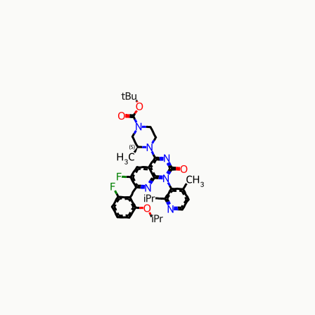 Cc1ccnc(C(C)C)c1-n1c(=O)nc(N2CCN(C(=O)OC(C)(C)C)C[C@@H]2C)c2cc(F)c(-c3c(F)cccc3OC(C)C)nc21